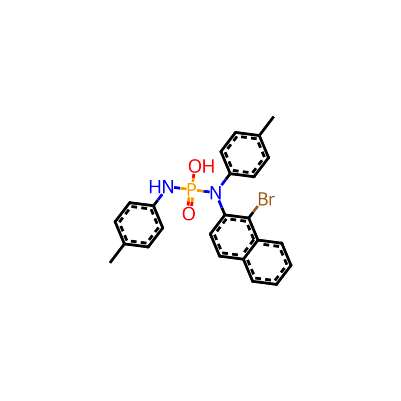 Cc1ccc(NP(=O)(O)N(c2ccc(C)cc2)c2ccc3ccccc3c2Br)cc1